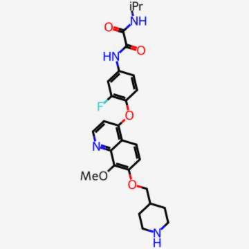 COc1c(OCC2CCNCC2)ccc2c(Oc3ccc(NC(=O)C(=O)NC(C)C)cc3F)ccnc12